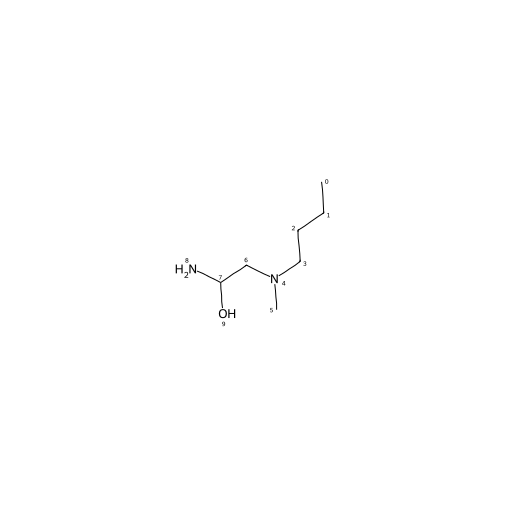 CCCCN(C)CC(N)O